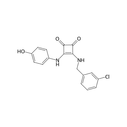 O=c1c(NCc2cccc(Cl)c2)c(Nc2ccc(O)cc2)c1=O